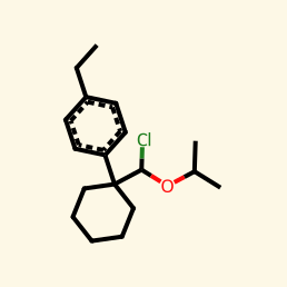 CCc1ccc(C2(C(Cl)OC(C)C)CCCCC2)cc1